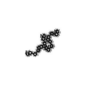 c1cc(-c2ccc3ncccc3c2)cc(-c2ccc3c(ccc4cc(-c5cccc(-c6ccc7ncccc7c6)c5)c(-c5cnc6c(-c7cccc(-c8ccc9c(ccc%10ccc(-c%11cccc(-c%12cccc%13cccnc%12%13)c%11)cc%109)c8)c7)cccc6c5)cc43)c2)c1